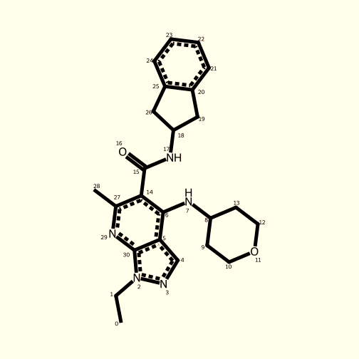 CCn1ncc2c(NC3CCOCC3)c(C(=O)NC3Cc4ccccc4C3)c(C)nc21